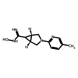 Cc1ccc(N2C[C@@H]3C(C(=N)NO)[C@@H]3C2)nc1